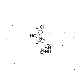 Cn1ccnc1Nc1nccc(-c2ccn(C(CO)c3ccc(Cl)c(F)c3)c(=O)c2)n1